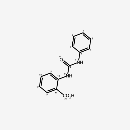 O=C(Nc1ccccc1)Nc1ccccc1C(=O)O